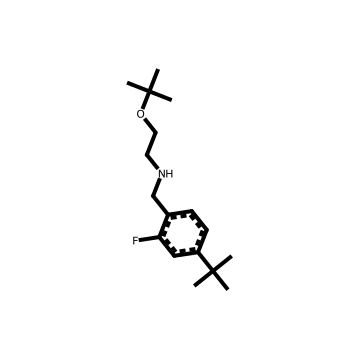 CC(C)(C)OCCNCc1ccc(C(C)(C)C)cc1F